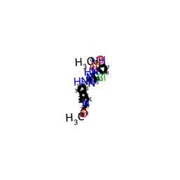 CNS(=O)(=O)c1ccccc1Nc1nc(Nc2ccc3c(c2)C2CC3CN(CCOC)C2)ncc1Cl